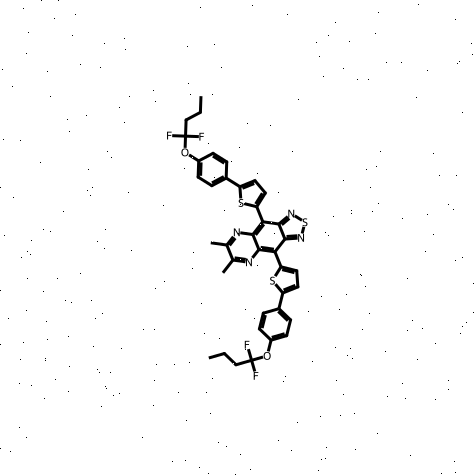 CCCC(F)(F)Oc1ccc(-c2ccc(-c3c4nsnc4c(-c4ccc(-c5ccc(OC(F)(F)CCC)cc5)s4)c4nc(C)c(C)nc34)s2)cc1